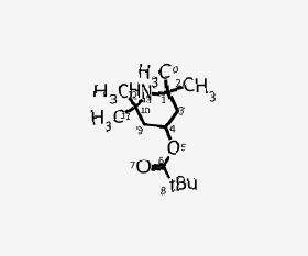 CC1(C)CC(OC(=O)C(C)(C)C)CC(C)(C)N1